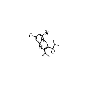 CC(C)C(=O)C1=C(C(C)C)N=C2C=C(F)C=C(Br)N2C1